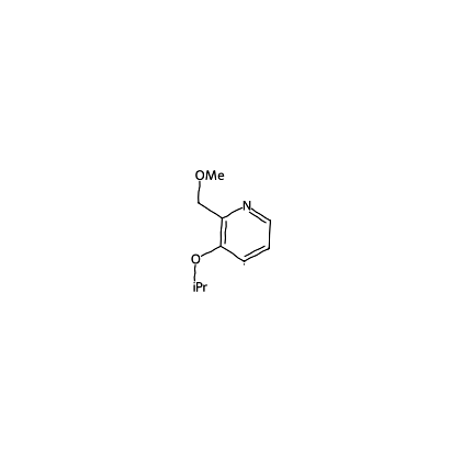 COCc1ncc[c]c1OC(C)C